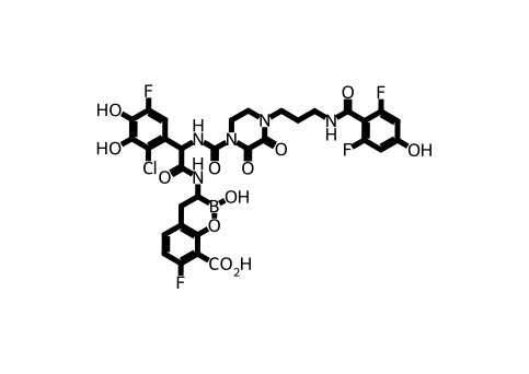 O=C(NCCCN1CCN(C(=O)NC(C(=O)NC2Cc3ccc(F)c(C(=O)O)c3OB2O)c2cc(F)c(O)c(O)c2Cl)C(=O)C1=O)c1c(F)cc(O)cc1F